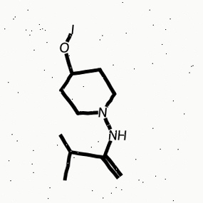 C=C(NN1CCC(OI)CC1)C(C)C